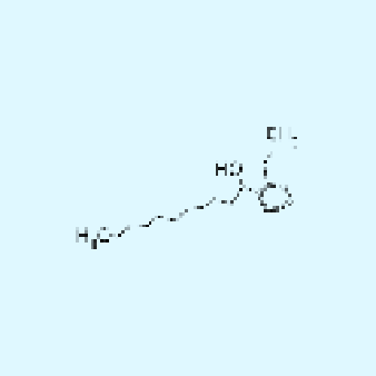 CC[CH]c1ccccc1C(O)CCCCCCCCCC